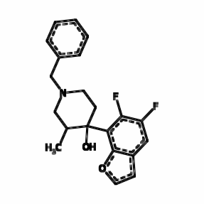 CC1CN(Cc2ccccc2)CCC1(O)c1c(F)c(F)cc2ccoc12